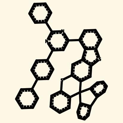 c1ccc(-c2ccc(-c3cc(-c4cccc5sc6cc7c(cc6c45)Sc4ccccc4C74c5ccccc5-c5ccccc54)nc(-c4ccccc4)n3)cc2)cc1